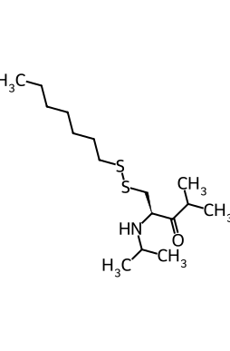 CCCCCCCSSC[C@H](NC(C)C)C(=O)C(C)C